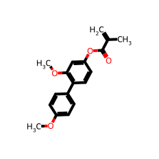 C=C(C)C(=O)Oc1ccc(-c2ccc(OC)cc2)c(OC)c1